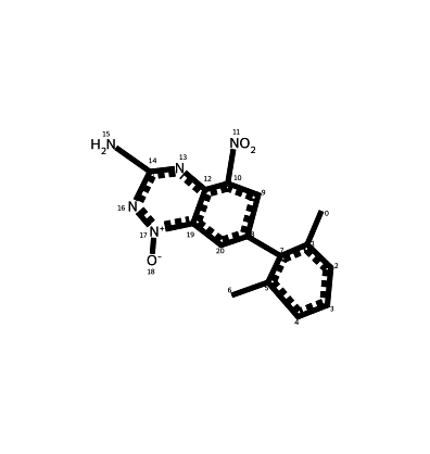 Cc1cccc(C)c1-c1cc([N+](=O)[O-])c2nc(N)n[n+]([O-])c2c1